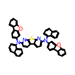 c1ccc2c(N(c3ccc4c(c3)oc3ccccc34)c3ccc4c(n3)sc3nc(N(c5ccc6c(c5)oc5ccccc56)c5cccc6ccccc56)ccc34)cccc2c1